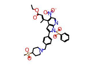 CCOC(=O)/C=C(\C)c1c([N+](=O)[O-])cnc2c1cc(-c1ccc(CN3CCC(S(C)(=O)=O)CC3)cc1)n2S(=O)(=O)c1ccccc1